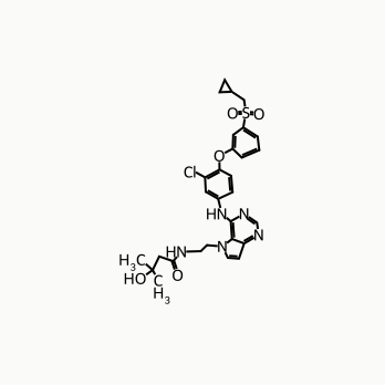 CC(C)(O)CC(=O)NCCn1ccc2ncnc(Nc3ccc(Oc4cccc(S(=O)(=O)CC5CC5)c4)c(Cl)c3)c21